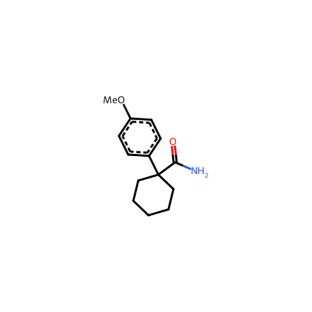 COc1ccc(C2(C(N)=O)CCCCC2)cc1